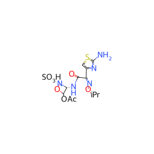 CC(=O)O[C@H]1ON(S(=O)(=O)O)[C@@H]1NC(=O)C(=NOC(C)C)c1csc(N)n1